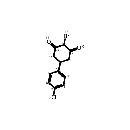 O=C1CC(c2ccc(Cl)cc2)CC(=O)C1Br